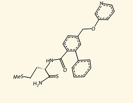 CSCC[C@H](NC(=O)c1ccc(COc2cccnc2)cc1-c1ccccc1)C(N)=S